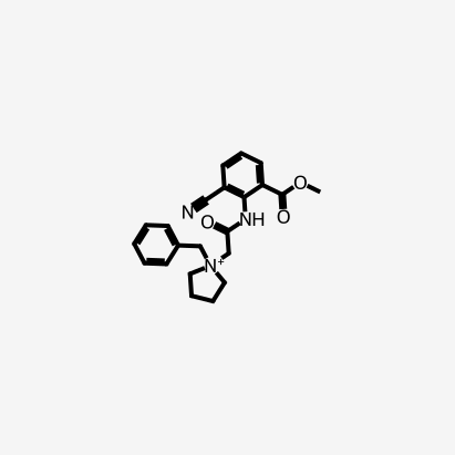 COC(=O)c1cccc(C#N)c1NC(=O)C[N+]1(Cc2ccccc2)CCCC1